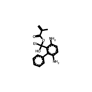 C=C(C)C(=O)OC(O)(CC)c1c(N)ccc(N)c1-c1ccccc1